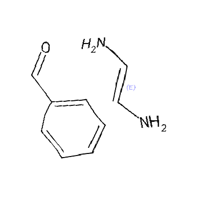 N/C=C/N.O=Cc1ccccc1